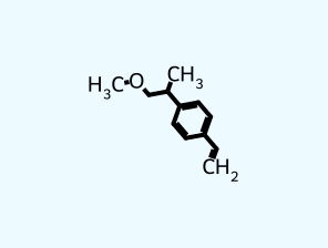 C=Cc1ccc(C(C)COC)cc1